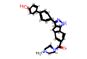 CN1CCN(C(=O)c2ccc3c(c2)Cc2c(-c4ccc(-c5ccc(O)cc5)cc4)n[nH]c2-3)CC1